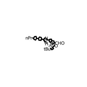 CCCC1CCC(C2CC=C(c3cnc(-c4ccc(C[C@@H](C=O)N(N)C(=O)c5ccc(C(C)(C)C)s5)cc4)nc3)CC2)CC1